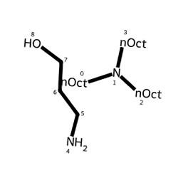 CCCCCCCCN(CCCCCCCC)CCCCCCCC.NCCCO